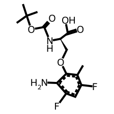 Cc1c(F)cc(F)c(N)c1OC[C@@H](NC(=O)OC(C)(C)C)C(=O)O